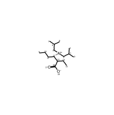 CC(C)[CH2][Al+][CH2]C(C)C.CCCCC(CC)C(=O)[O-]